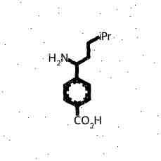 CC(C)CCC(N)c1ccc(C(=O)O)cc1